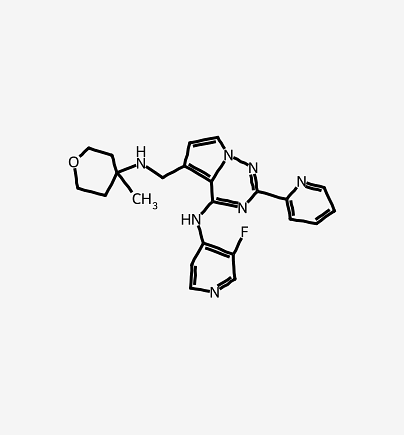 CC1(NCc2ccn3nc(-c4ccccn4)nc(Nc4ccncc4F)c23)CCOCC1